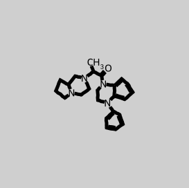 CC(C(=O)N1CCN(c2ccccc2)c2ccccc21)N1CCN2CCCC2C1